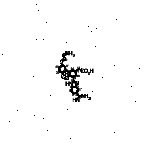 N=C(N)c1ccc2[nH]c(-c3cc(CC(=O)O)cc(-c4cc(SOON)ccc4O)c3O)nc2c1